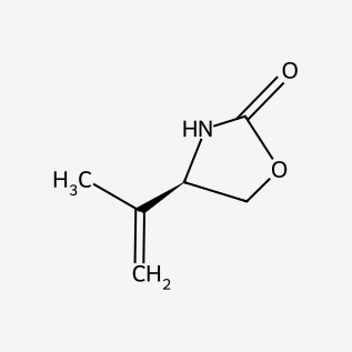 C=C(C)[C@@H]1COC(=O)N1